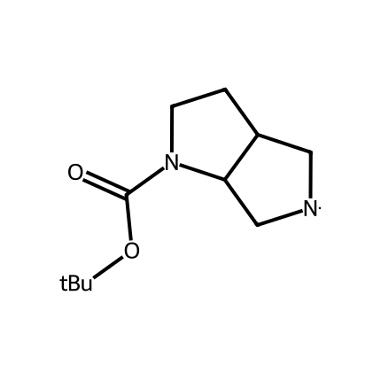 CC(C)(C)OC(=O)N1CCC2C[N]CC21